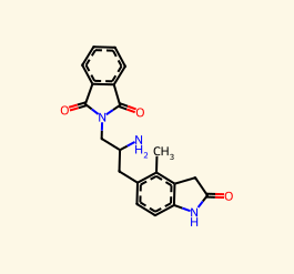 Cc1c(CC(N)CN2C(=O)c3ccccc3C2=O)ccc2c1CC(=O)N2